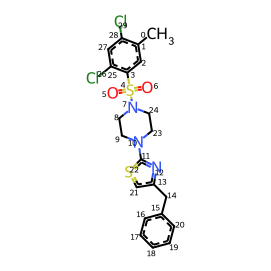 Cc1cc(S(=O)(=O)N2CCN(c3nc(Cc4ccccc4)cs3)CC2)c(Cl)cc1Cl